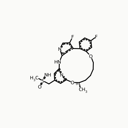 C[C@@H]1CCCCOc2cc(F)ccc2-c2cc(ncc2F)Nc2cc(CS(C)(=N)=O)cc(n2)O1